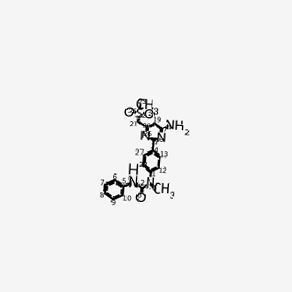 CN(C(=O)Nc1ccccc1)c1ccc(-c2nc(N)cc(CS(C)(=O)=O)n2)cc1